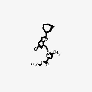 CCOC(=O)c1cc(C)n(Cc2cc(Cl)cc3cc(C4CCCCC4)oc23)n1